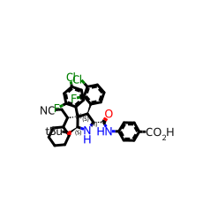 CC(C)(C)C[C@@H]1N[C@@H](C(=O)Nc2ccc(C(=O)O)cc2)[C@H](c2cccc(Cl)c2F)[C@@]1(c1ccc(Cl)cc1F)C(CC#N)C1CCCCC1